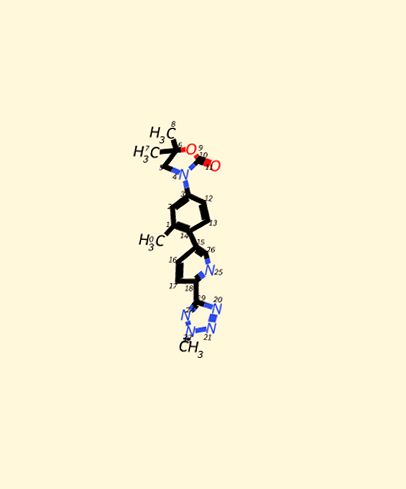 Cc1cc(N2CC(C)(C)OC2=O)ccc1-c1ccc(-c2nnn(C)n2)nc1